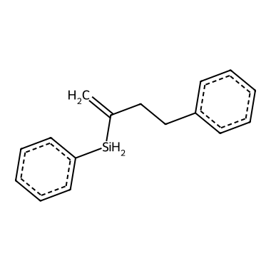 C=C(CCc1ccccc1)[SiH2]c1ccccc1